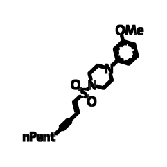 CCCCCC#CC=CS(=O)(=O)N1CCN(c2cccc(OC)c2)CC1